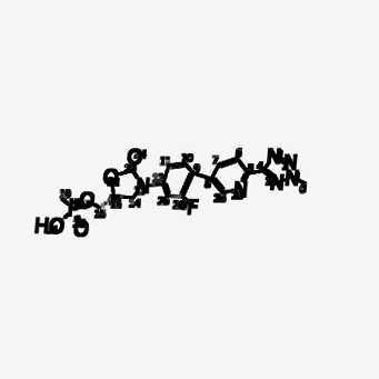 Cn1nnc(-c2ccc(-c3ccc(N4C[C@H](COP(C)(=O)O)OC4=O)cc3F)cn2)n1